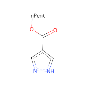 CCCCCOC(=O)c1cn[nH]c1